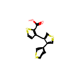 O=C(O)c1sccc1-c1cscc1-c1ccsc1